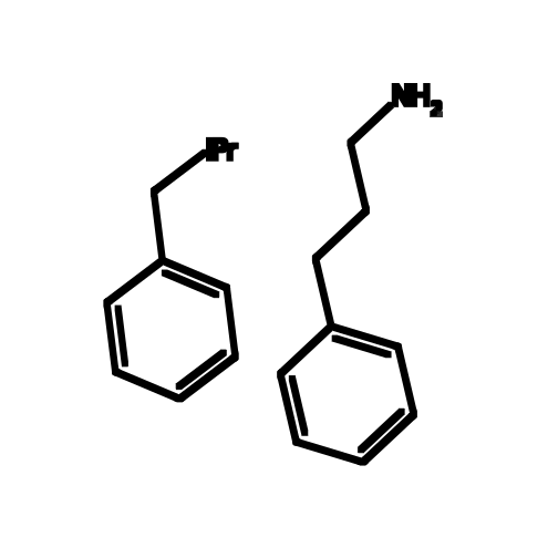 CC(C)Cc1ccccc1.NCCCc1ccccc1